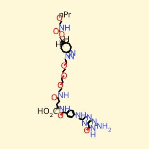 CCCOCCNC(=O)OC[C@@H]1[C@@H]2CCc3c(nnn3CCOCCOCCOCCNC(=O)CC[C@H](NC(=O)c3ccc(NCc4cnc5nc(N)[nH]c(=O)c5n4)cc3)C(=O)O)CC[C@@H]21